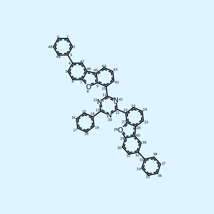 c1ccc(-c2ccc3oc4c(-c5nc(-c6ccccc6)nc(-c6cccc7c6oc6ccc(-c8ccccc8)cc67)n5)cccc4c3c2)cc1